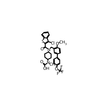 COc1ccc(-c2ccc(OC(F)(F)F)cc2)cc1CN(C(=O)c1sc2ccccc2c1Cl)C1CCC(N(C)C(=O)O)CC1